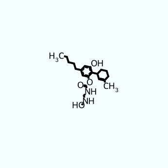 CCCCCc1cc(O)c(C2C=C(C)CCC2)c(OC(=O)NCNO)c1